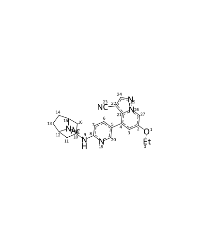 CCOc1cc(-c2ccc(NC3CC4CCC(C3)N4C(C)=O)nc2)c2c(C#N)cnn2c1